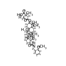 COc1ccccc1CNC(=O)C[C@]12CCC[C@@H]1[C@H]1CCC3[C@@]4(C)CC[C@H](OC(=O)CC(C)(C)C(=O)O)C(C)(C)C4CC[C@@]3(C)[C@]1(C)CC2